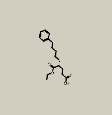 CCOC(=O)[C@H](CCCCCc1ccccc1)CCC(=O)O